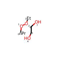 CCCOOCC.OCCO